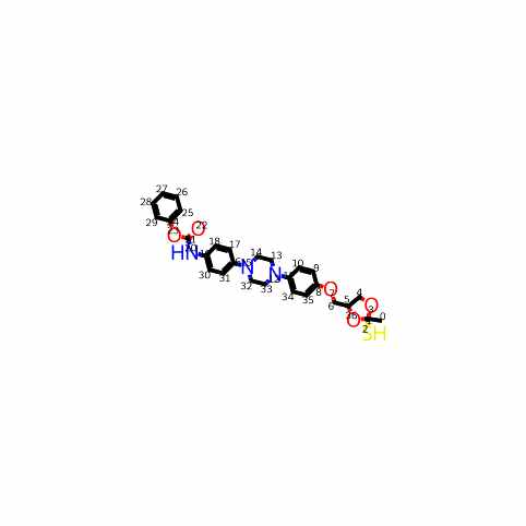 CC1(S)OCC(COc2ccc(N3CCN(c4ccc(NC(=O)Oc5ccccc5)cc4)CC3)cc2)O1